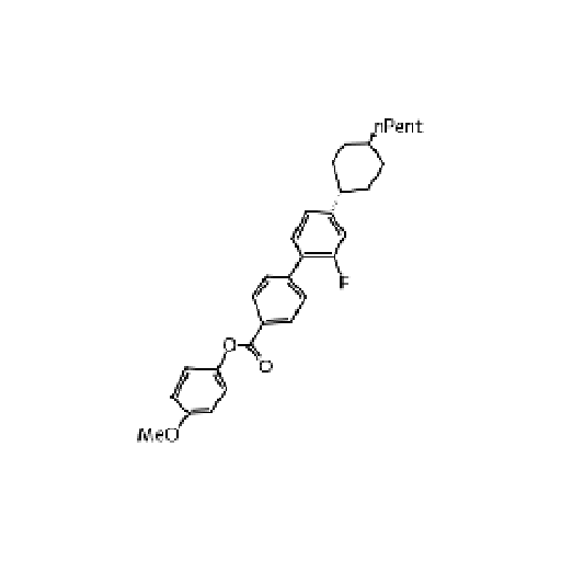 CCCCC[C@H]1CC[C@H](c2ccc(-c3ccc(C(=O)Oc4ccc(OC)cc4)cc3)c(F)c2)CC1